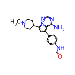 CN1CCC(c2cc(-c3ccc(NC=O)cc3)c3c(N)ncnn23)CC1